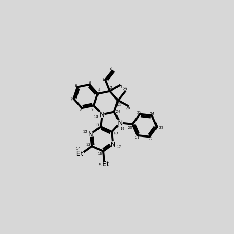 C=CC1(C)c2ccccc2N2c3nc(CC)c(CC)nc3N(c3ccccc3)C2C1(C)C